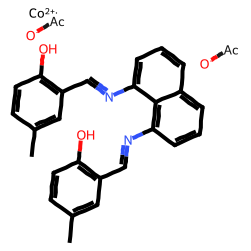 CC(=O)[O-].CC(=O)[O-].Cc1ccc(O)c(C=Nc2cccc3cccc(N=Cc4cc(C)ccc4O)c23)c1.[Co+2]